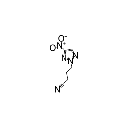 N#CCCCn1ncc([N+](=O)[O-])n1